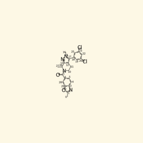 Cc1nc2ccc(C(=O)N3CCc4c(nn(C)c4-c4cc(Cl)cc(Cl)c4)C3C)cc2o1